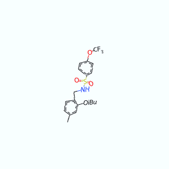 Cc1ccc(CNS(=O)(=O)c2ccc(OC(F)(F)F)cc2)c(OCC(C)C)c1